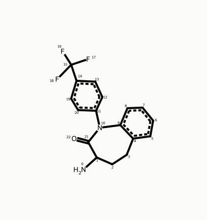 NC1CCc2ccccc2N(c2ccc(C(F)(F)F)cc2)C1=O